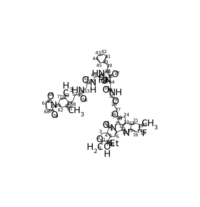 C=C1OCc2c(cc3n(c2=O)C2c4c-3nc3cc(F)c(C)cc3c4C[C@@H]2OCCOCNC(=O)CNC(=O)[C@H](Cc2ccccc2)NC(=O)CNC(=O)CNC(=O)CCc2c(C)cc(N3C(=O)C=CC3=O)cc2C)[C@@]1(O)CC